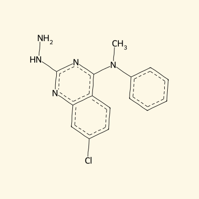 CN(c1ccccc1)c1nc(NN)nc2cc(Cl)ccc12